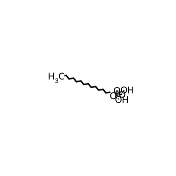 CCCCCCCCCCCCCCOP(=O)(O)OO